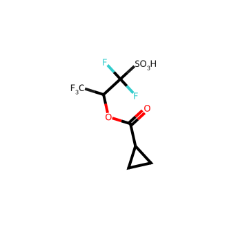 O=C(OC(C(F)(F)F)C(F)(F)S(=O)(=O)O)C1CC1